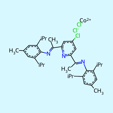 CC(=Nc1c(C(C)C)cc(C)cc1C(C)C)c1cc(Cl)cc(C(C)=Nc2c(C(C)C)cc(C)cc2C(C)C)n1.[Cl-].[Cl-].[Co+2]